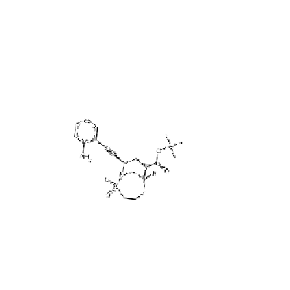 CC(C)(C)OC(=O)N1C[C@H](C#Cc2ccccc2N)N2C[C@H]1CCCS2(=O)=O